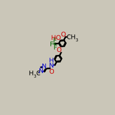 CC(=O)c1ccc(OCc2ccc(CNC(=O)c3cn(C)cn3)cc2)c(C(F)(F)F)c1O